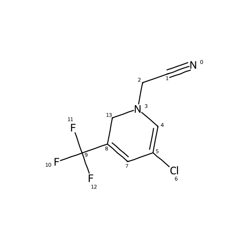 N#CCN1C=C(Cl)C=C(C(F)(F)F)C1